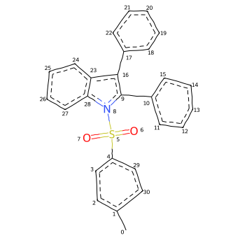 Cc1ccc(S(=O)(=O)n2c(-c3ccccc3)c(-c3ccccc3)c3ccccc32)cc1